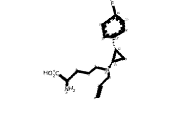 C=CCN(CCCC(N)C(=O)O)[C@@H]1C[C@H]1c1ccc(F)cc1